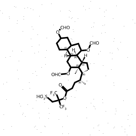 C[C@H](CCC(=O)OC(CS(=O)(=O)O)(C(F)(F)F)C(F)(F)F)[C@H]1CC[C@H]2[C@@H]3C(OC=O)CC4CC(OC=O)CC[C@]4(C)[C@H]3CC(OC=O)[C@]12C